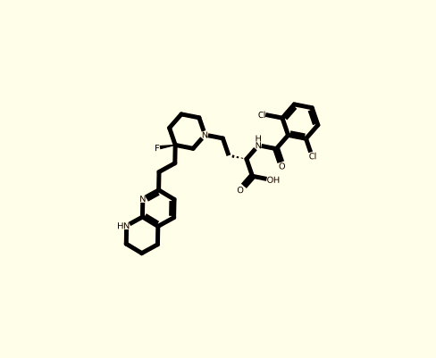 O=C(N[C@@H](CCN1CCC[C@@](F)(CCc2ccc3c(n2)NCCC3)C1)C(=O)O)c1c(Cl)cccc1Cl